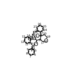 CC(C)(C)C(O[SiH](c1ccccc1)c1ccccc1)C1COCCC1(C#N)c1ccccc1F